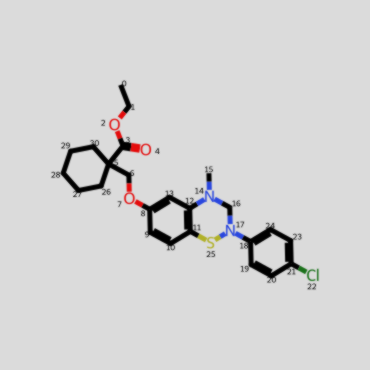 CCOC(=O)C1(COc2ccc3c(c2)N(C)CN(c2ccc(Cl)cc2)S3)CCCCC1